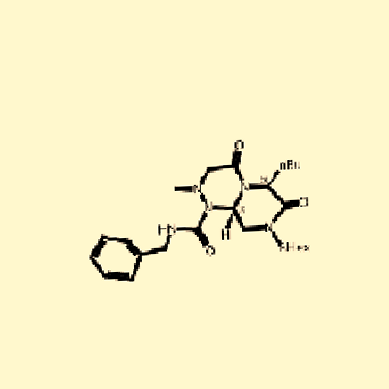 CCCCCCN1C[C@H]2N(C(=O)CN(C)N2C(=O)NCc2ccccc2)[C@@H](CCCC)C1=O